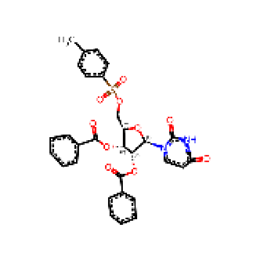 Cc1ccc(S(=O)(=O)OC[C@H]2O[C@@H](n3ccc(=O)[nH]c3=O)[C@H](OC(=O)c3ccccc3)[C@@H]2OC(=O)c2ccccc2)cc1